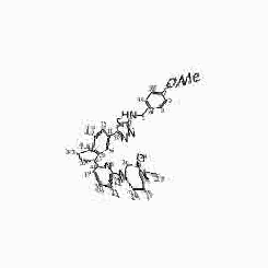 COc1ccc(CNc2nnc(-c3ccc4c(c3)C(c3cccc(N5CCN(C)C(=O)C5)n3)=CC4)s2)cc1